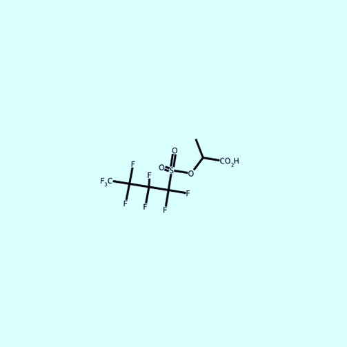 CC(OS(=O)(=O)C(F)(F)C(F)(F)C(F)(F)C(F)(F)F)C(=O)O